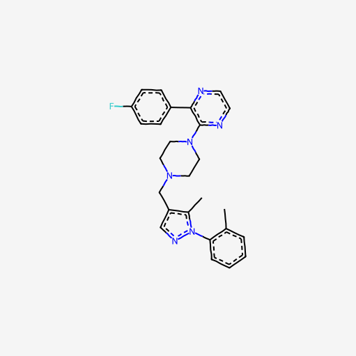 Cc1ccccc1-n1ncc(CN2CCN(c3nccnc3-c3ccc(F)cc3)CC2)c1C